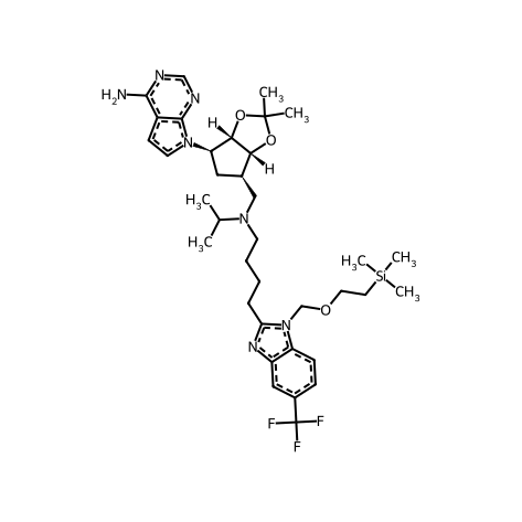 CC(C)N(CCCCc1nc2cc(C(F)(F)F)ccc2n1COCC[Si](C)(C)C)C[C@H]1C[C@@H](n2ccc3c(N)ncnc32)[C@@H]2OC(C)(C)O[C@H]12